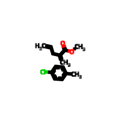 C=CCC(=C)C(=O)OC.Cc1ccc(Cl)cc1